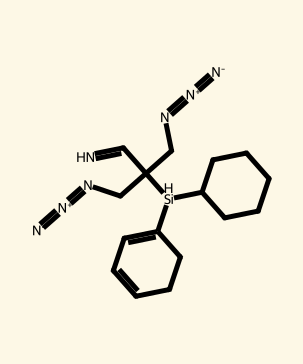 [N-]=[N+]=NCC(C=N)(CN=[N+]=[N-])[SiH](C1=CC=CCC1)C1CCCCC1